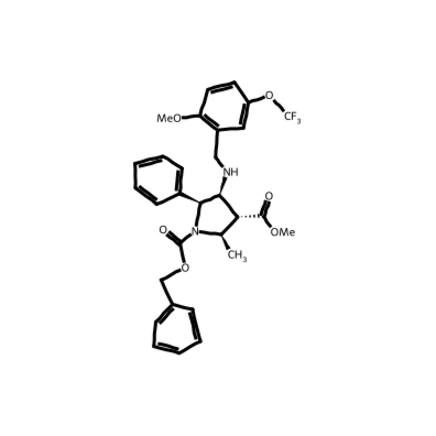 COC(=O)[C@H]1[C@H](NCc2cc(OC(F)(F)F)ccc2OC)[C@H](c2ccccc2)N(C(=O)OCc2ccccc2)[C@@H]1C